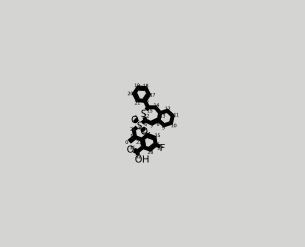 C=C(CS(=O)(=O)C1C=C2CCCCC2CC(c2ccccc2)S1)c1ccc(F)cc1C(=O)O